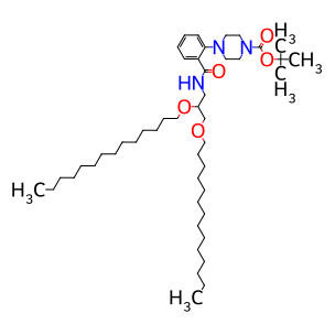 CCCCCCCCCCCCCCOCC(CNC(=O)c1ccccc1N1CCN(C(=O)OC(C)(C)C)CC1)OCCCCCCCCCCCCCC